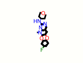 Cn1c(=O)c(Oc2ccc(F)cc2)cc2cnc(NC3CCOCC3)nc21